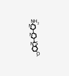 COc1ccc2nc(-c3ccc(-c4ccc(N)nc4)nc3)sc2c1